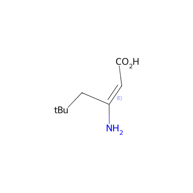 CC(C)(C)C/C(N)=C\C(=O)O